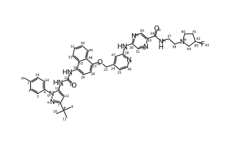 Cc1ccc(-n2nc(C(C)(C)C)cc2NC(=O)Nc2ccc(OCc3ccnc(Nc4cnc(C(=O)NCCN5CC[C@@H](F)C5)cn4)c3)c3ccccc23)cc1